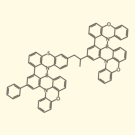 CC(Cc1ccc2c(c1)Sc1cccc3c1N2B1c2cccc4c2N(c2ccccc2O4)c2cc(-c4ccccc4)cc-3c21)c1cc2c3c(c1)N1c4ccccc4Oc4cccc(c41)B3N1c3ccccc3Oc3cccc-2c31